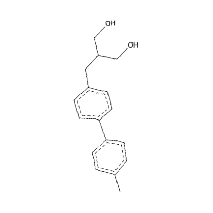 Cc1ccc(-c2ccc(CC(CO)CO)cc2)cc1